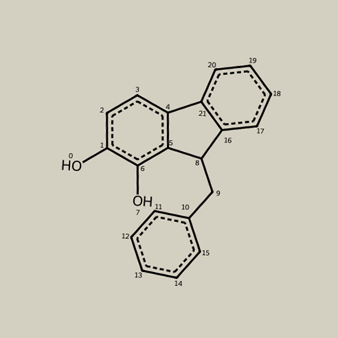 Oc1ccc2c(c1O)C(Cc1ccccc1)c1ccccc1-2